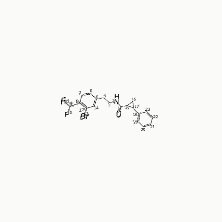 O=C(NCCc1ccc([C](F)F)c(Br)c1)C1CC1c1ccccc1